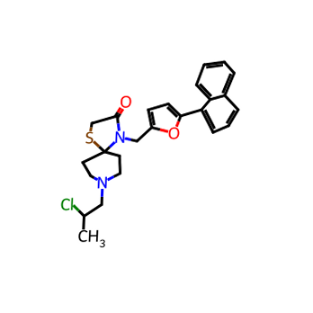 CC(Cl)CN1CCC2(CC1)SCC(=O)N2Cc1ccc(-c2cccc3ccccc23)o1